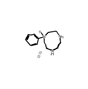 [Cl-].[Cl-].[Ti][N+]1(c2ccccc2)CCNCCNCC1